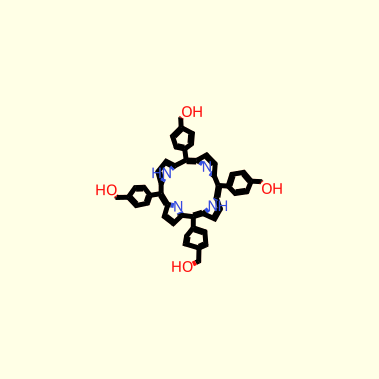 OCc1ccc(-c2c3nc(c(-c4ccc(CO)cc4)c4ccc([nH]4)c(-c4ccc(CO)cc4)c4nc(c(-c5ccc(CO)cc5)c5ccc2[nH]5)C=C4)C=C3)cc1